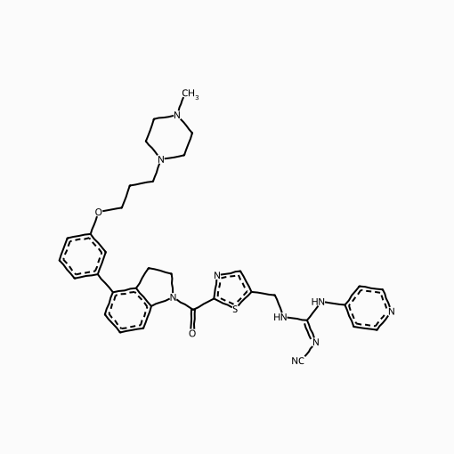 CN1CCN(CCCOc2cccc(-c3cccc4c3CCN4C(=O)c3ncc(CN/C(=N\C#N)Nc4ccncc4)s3)c2)CC1